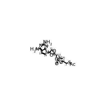 CC(=O)SCCOP(=O)(OC[C@@H]1OC[C@H](n2ccc3c(N)nc(N)nc32)O1)N(C)C